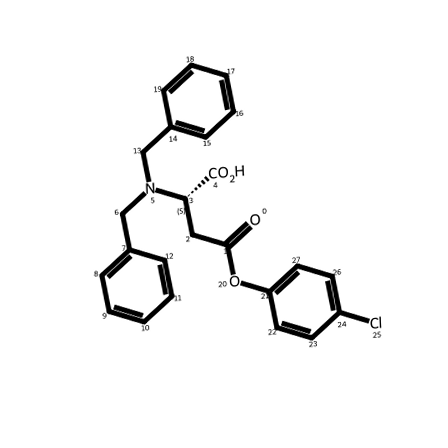 O=C(C[C@@H](C(=O)O)N(Cc1ccccc1)Cc1ccccc1)Oc1ccc(Cl)cc1